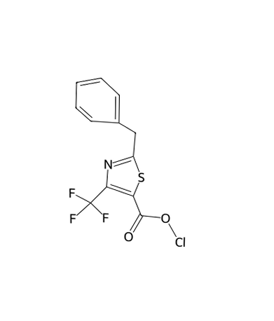 O=C(OCl)c1sc(Cc2ccccc2)nc1C(F)(F)F